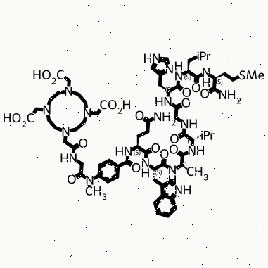 CSCC[C@H](NC(=O)[C@H](CC(C)C)NC(=O)[C@H](Cc1c[nH]cn1)NC(=O)CNC(=O)[C@@H](NC(=O)[C@H](C)NC(=O)[C@H](Cc1c[nH]c2ccccc12)NC(=O)[C@H](CCC(N)=O)NC(=O)c1ccc(N(C)C(=O)CNC(=O)CN2CCN(CC(=O)O)CCN(CC(=O)O)CCN(CC(=O)O)CC2)cc1)C(C)C)C(N)=O